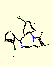 Cc1cc2n(c1C)-c1ccc(Cl)cc1C(c1ccccc1F)=NC2